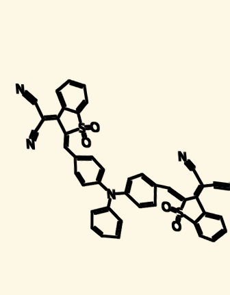 N#CC(C#N)=C1/C(=C/c2ccc(N(c3ccccc3)c3ccc(/C=C4/C(=C(C#N)C#N)c5ccccc5S4(=O)=O)cc3)cc2)S(=O)(=O)c2ccccc21